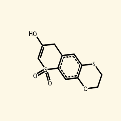 O=S1(=O)C=C(O)Cc2cc3c(cc21)OCCS3